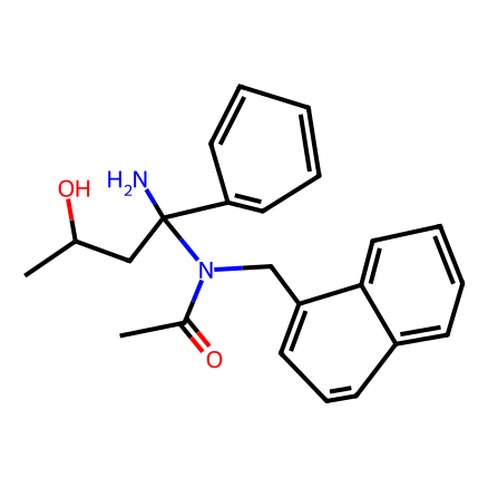 CC(=O)N(Cc1cccc2ccccc12)C(N)(CC(C)O)c1ccccc1